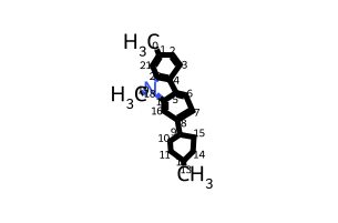 Cc1ccc2c3ccc(C4CCC(C)CC4)cc3n(C)c2c1